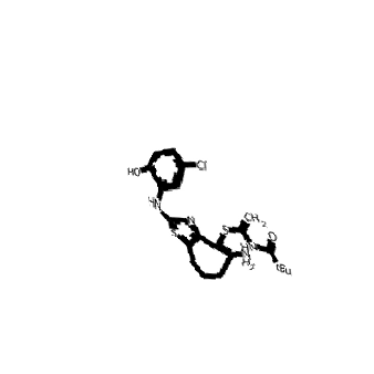 C=C(NC(=O)C(C)(C)C)SC1=C(N)CCCc2sc(Nc3cc(Cl)ccc3O)nc21